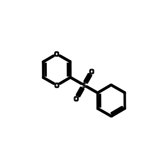 O=S(=O)(C1=CC=CCC1)C1=COC=CO1